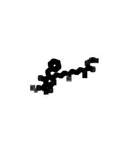 Cc1noc2nc(CCCNCCCNC(=O)OC(C)(C)C)n(Cc3ccccc3)c(=O)c12